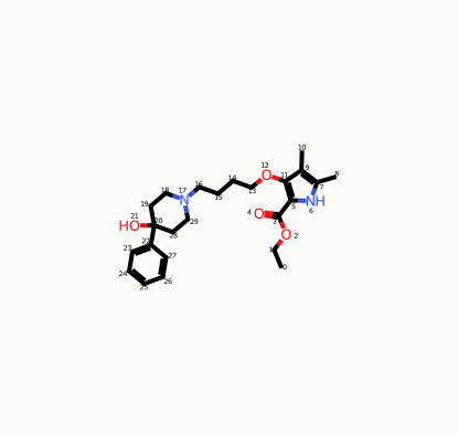 CCOC(=O)c1[nH]c(C)c(C)c1OCCCCN1CCC(O)(c2ccccc2)CC1